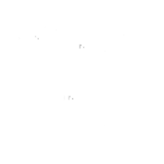 CCOC(=O)c1ccc2[nH]c3c(OCCN(C)C)c4[nH]c5ccc(C=O)cc5c4c(I)c3c2c1